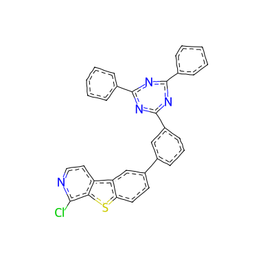 Clc1nccc2c1sc1ccc(-c3cccc(-c4nc(-c5ccccc5)nc(-c5ccccc5)n4)c3)cc12